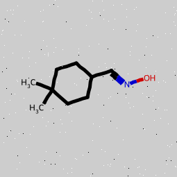 CC1(C)CCC(C=NO)CC1